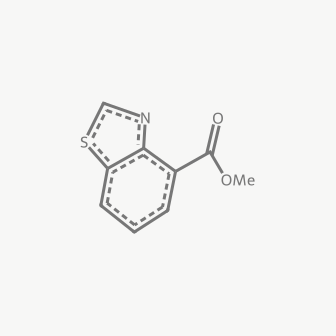 COC(=O)c1cccc2scnc12